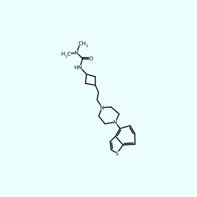 CN(C)C(=O)NC1CC(CCN2CCN(c3cccc4sccc34)CC2)C1